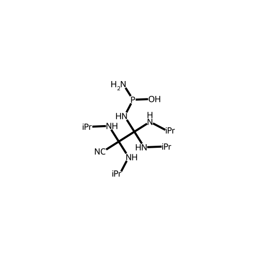 CC(C)NC(C#N)(NC(C)C)C(NC(C)C)(NC(C)C)NP(N)O